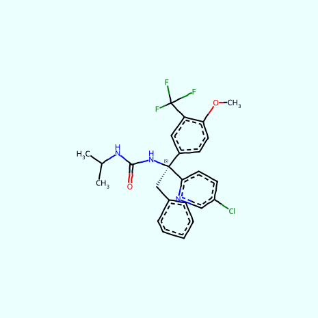 COc1ccc([C@](Cc2ccccc2)(NC(=O)NC(C)C)c2ccc(Cl)cn2)cc1C(F)(F)F